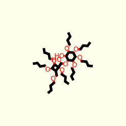 CCCCOCC1[C@@H](OCCCC)C(OCCCC)C1(OCCCC)[C@H](O)OC1C(OCCCC)[C@@H](OCCCC)C(OCCCC)C(OCCCC)[C@@H]1O